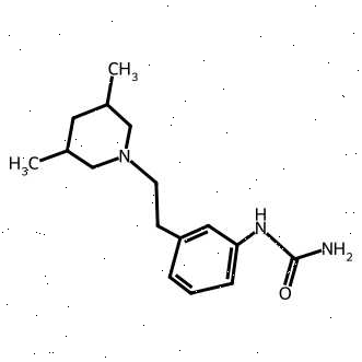 CC1CC(C)CN(CCc2cccc(NC(N)=O)c2)C1